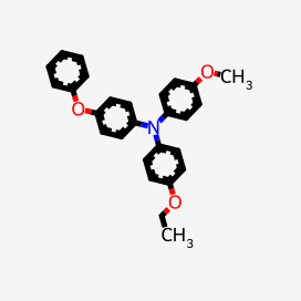 CCOc1ccc(N(c2ccc(OC)cc2)c2ccc(Oc3ccccc3)cc2)cc1